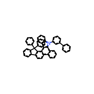 c1ccc(-c2cccc(-n3c4ccccc4c4c5c6c(ccc5c5ccccc5c43)-c3ccccc3C6(c3ccccc3)c3ccccc3)c2)cc1